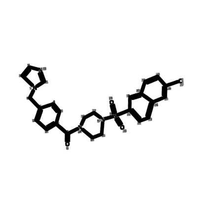 O=C(c1ccc(Cn2ccnc2)cc1)N1CCN(S(=O)(=O)c2ccc3cc(Cl)ccc3c2)CC1